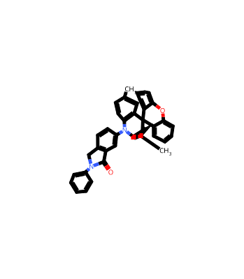 Cc1ccc2c(c1)C1(c3ccccc3Oc3ccccc31)c1cc(C)ccc1N2c1ccc2c(c1)C(=O)N(c1ccccc1)C2